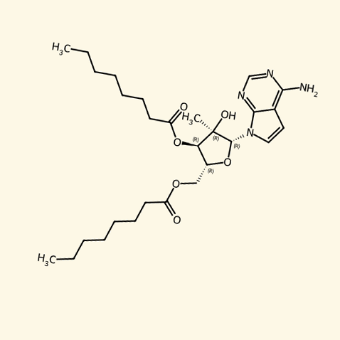 CCCCCCCC(=O)OC[C@H]1O[C@@H](n2ccc3c(N)ncnc32)[C@](C)(O)[C@@H]1OC(=O)CCCCCCC